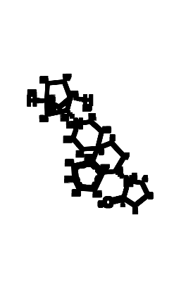 O=C1CCCN1[C@H]1CCC2(CCN([C@@H]3C[C@@H]4CC[C@@H]3C4)CC2)c2ccccc21